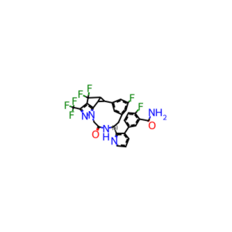 NC(=O)c1cc(-c2cccnc2[C@@H]2Cc3cc(F)cc(c3)C3C4c5c(c(C(F)(F)F)nn5CC(=O)N2)C(F)(F)C34)ccc1F